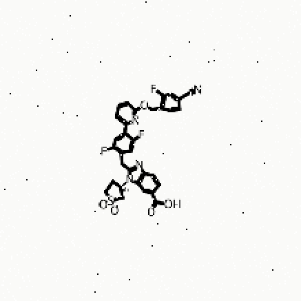 N#Cc1ccc(COc2cccc(-c3cc(F)c(Cc4nc5ccc(C(=O)O)cc5n4[C@@H]4CCS(=O)(=O)C4)cc3F)n2)c(F)c1